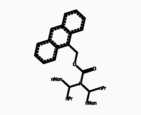 CCCCCCCCCC(CCC)N(C(=O)OCc1c2ccccc2cc2ccccc12)C(CCC)CCCCCCCCC